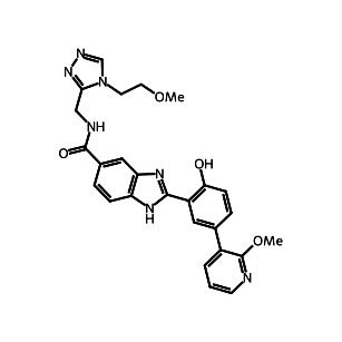 COCCn1cnnc1CNC(=O)c1ccc2[nH]c(-c3cc(-c4cccnc4OC)ccc3O)nc2c1